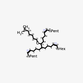 CCCCC/C=C\CCCC(CCC/C=C\CCCCCC)C(CCC/C=C\CCCCC)OCCCCCN(C)C